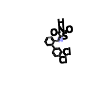 O=C1NC(=O)/C(=C\c2ccccc2-c2ccc(Cl)c(Cl)c2)S1